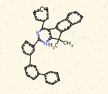 CC1(C)c2cc3ccccc3cc2-c2c(-c3ccccc3)nc(-c3cccc(-c4cccc(-c5ccccc5)c4)c3)nc21